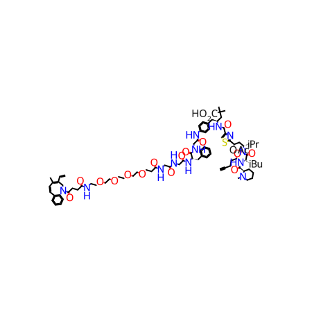 C#CCCCON(C(=O)[C@@H](NC(=O)[C@H]1CCCCN1C)[C@@H](C)CC)[C@H](C[C@@H](OC(C)=O)c1nc(C(=O)N[C@@H](Cc2ccc(NC(=O)CNC(=O)[C@H](Cc3ccccc3)NC(=O)CNC(=O)CNC(=O)CCOCCOCCOCCOCCNC(=O)CCC(=O)N3C/C(C=C)=C(C)\C=C/c4ccccc43)cc2)CC(C)(C)C(=O)O)cs1)C(C)C